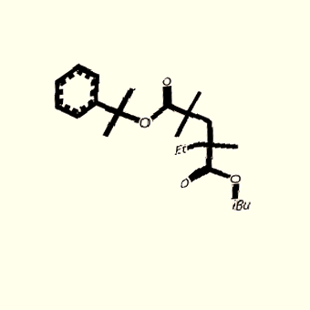 CCC(C)OC(=O)C(C)(CC)CC(C)(C)C(=O)OC(C)(C)c1ccccc1